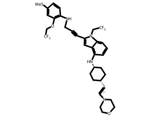 CSc1ccc(NCC#Cc2cc3c(N[C@H]4CC[C@@H](/C=C/N5CCOCC5)CC4)cccc3n2CC(F)(F)F)c(OCC(F)(F)F)c1